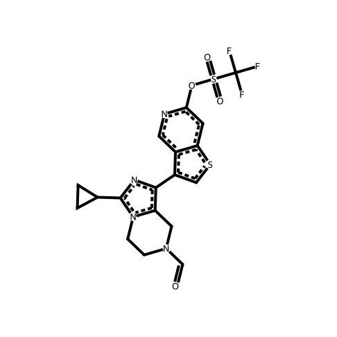 O=CN1CCn2c(C3CC3)nc(-c3csc4cc(OS(=O)(=O)C(F)(F)F)ncc34)c2C1